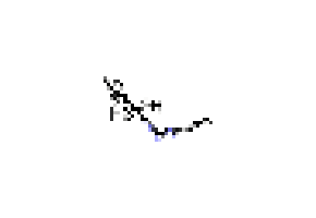 CCCCCC/C=C/C=C\C=C\C=C\C(O)C(O)CCCC(=O)OCC